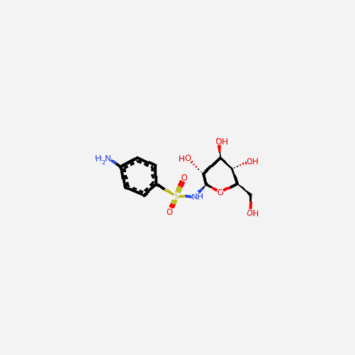 Nc1ccc(S(=O)(=O)N[C@@H]2O[C@H](CO)[C@@H](O)[C@H](O)[C@H]2O)cc1